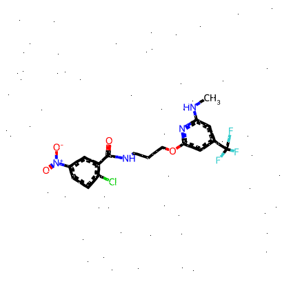 CNc1cc(C(F)(F)F)cc(OCCCNC(=O)c2cc([N+](=O)[O-])ccc2Cl)n1